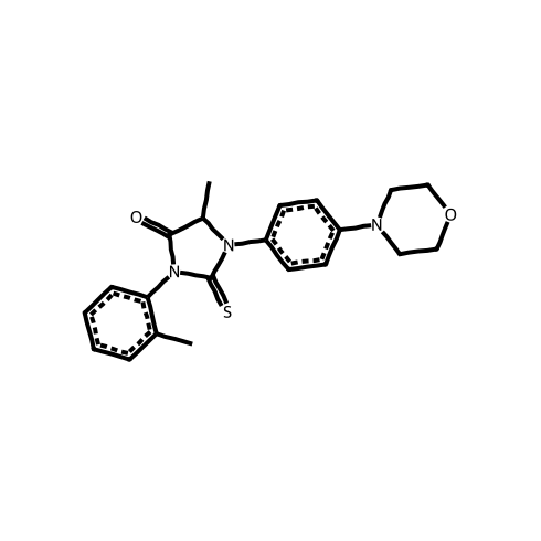 Cc1ccccc1N1C(=O)C(C)N(c2ccc(N3CCOCC3)cc2)C1=S